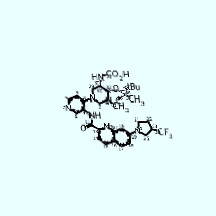 C[C@H]1CN(c2ccncc2NC(=O)c2ccc3ccc(N4CCC(C(F)(F)F)C4)cc3n2)C[C@@H](NC(=O)O)[C@@H]1O[Si](C)(C)C(C)(C)C